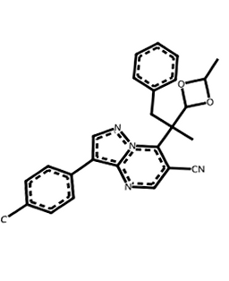 CC1OC(C(C)(Cc2ccccc2)c2c(C#N)cnc3c(-c4ccc(C(F)(F)F)cc4)cnn23)O1